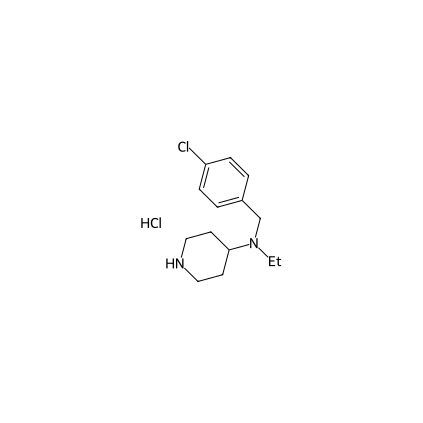 CCN(Cc1ccc(Cl)cc1)C1CCNCC1.Cl